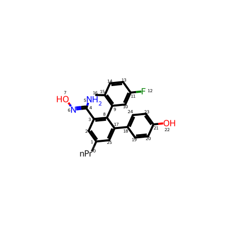 CCCc1cc(/C(N)=N/O)c(-c2cc(F)ccc2C)c(-c2ccc(O)cc2)c1